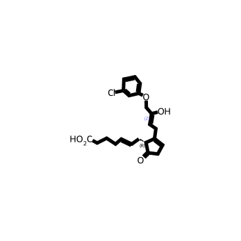 O=C(O)CCCC=CC[C@H]1C(=O)CC=C1C/C=C(\O)COc1cccc(Cl)c1